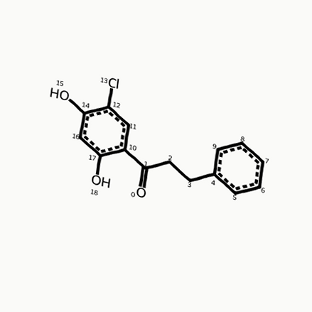 O=C(CCc1ccccc1)c1cc(Cl)c(O)cc1O